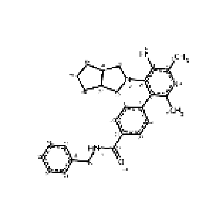 CCc1c(C)nc(C)c(-c2ccc(C(=O)NCc3ccccc3)cc2)c1N1CC2CCCC2C1